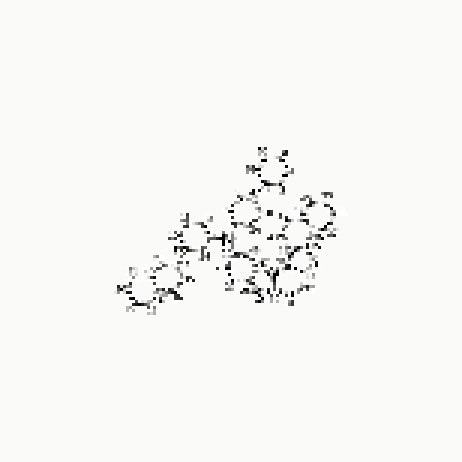 c1ccc(-c2ccc(N(c3cccc(-c4ccc5ccccc5c4)c3)c3ccc4sc5ccc6sc7c8ccccc8ccc7c6c5c4c3)cc2)cc1